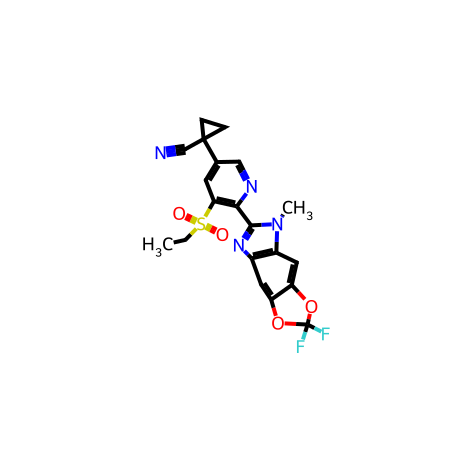 CCS(=O)(=O)c1cc(C2(C#N)CC2)cnc1-c1nc2cc3c(cc2n1C)OC(F)(F)O3